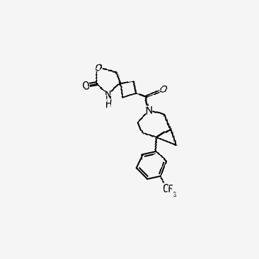 O=C1NC2(CO1)CC(C(=O)N1CCC3(c4cccc(C(F)(F)F)c4)CC3C1)C2